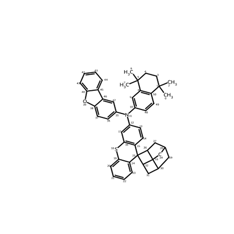 CC1(C)CCC(C)(C)c2cc(N(c3ccc4c(c3)Sc3ccccc3C43C4CC5CC6CC3C64C5)c3ccc4oc5ccccc5c4c3)ccc21